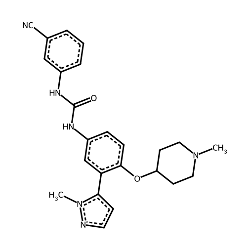 CN1CCC(Oc2ccc(NC(=O)Nc3cccc(C#N)c3)cc2-c2ccnn2C)CC1